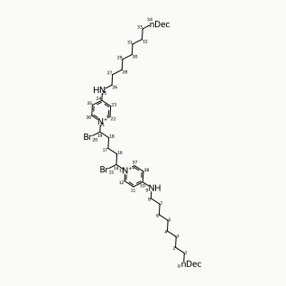 CCCCCCCCCCCCCCCCCCNc1cc[n+](C(Br)CCCC(Br)[n+]2ccc(NCCCCCCCCCCCCCCCCCC)cc2)cc1